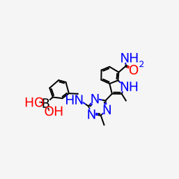 Cc1nc(NCc2cccc(B(O)O)c2)nc(-c2c(C)[nH]c3c(C(N)=O)cccc23)n1